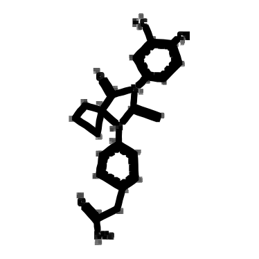 C=C1N(c2ccc(C#N)c(C(F)(F)F)c2)C(=O)C2(CCC2)N1c1ccc(CC(=O)NC)cc1